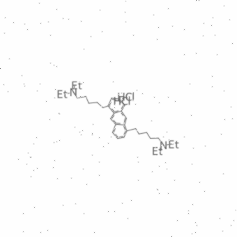 CCN(CC)CCCCCc1cccc2cc3c(CCCCCN(CC)CC)cccc3cc12.Cl.Cl